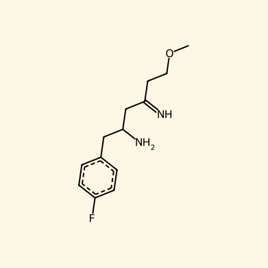 COCCC(=N)CC(N)Cc1ccc(F)cc1